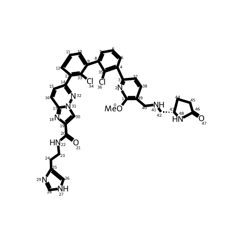 COc1nc(-c2cccc(-c3cccc(-c4ccc5nc(C(=O)NCCc6c[nH]cn6)cn5n4)c3Cl)c2Cl)ccc1CNC[C@@H]1CCC(=O)N1